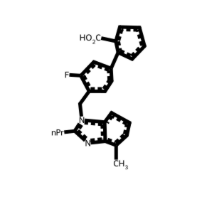 CCCc1nc2c(C)cccc2n1Cc1ccc(-c2ccccc2C(=O)O)cc1F